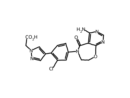 Nc1ncnc2c1C(=O)N(c1ccc(-c3cnn(CC(=O)O)c3)c(Cl)c1)CCO2